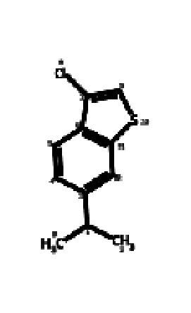 CC(C)c1ccc2c(Cl)csc2c1